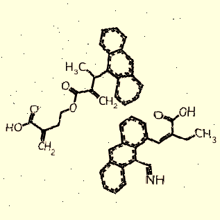 C=C(CCOC(=O)C(=C)C(C)c1c2ccccc2cc2ccccc12)C(=O)O.CCC(=Cc1cccc2cc3ccccc3c(C=N)c12)C(=O)O